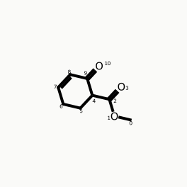 COC(=O)C1CCC=CC1=O